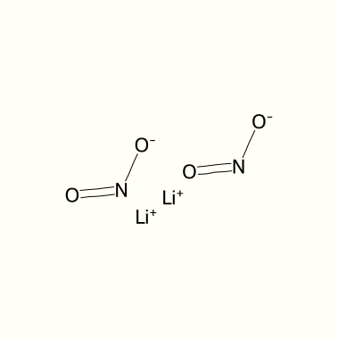 O=N[O-].O=N[O-].[Li+].[Li+]